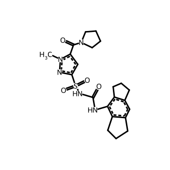 Cn1nc(S(=O)(=O)NC(=O)Nc2c3c(cc4c2CCC4)CCC3)cc1C(=O)N1CCCC1